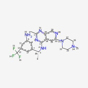 Cc1nc(N[C@H](C)c2cc(N)cc(C(F)(F)F)c2)c2cc(N3CCN(C)CC3)ncc2n1